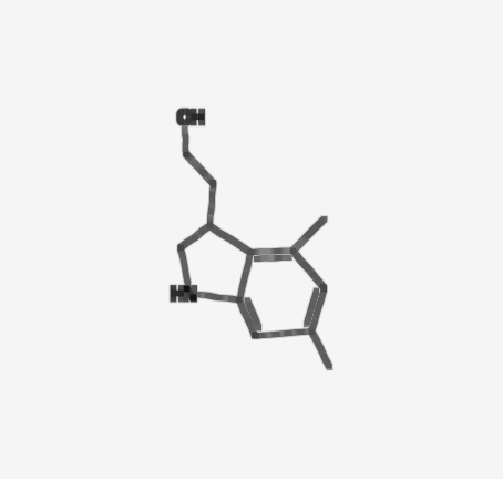 Cc1cc(C)c2c(c1)NCC2CCO